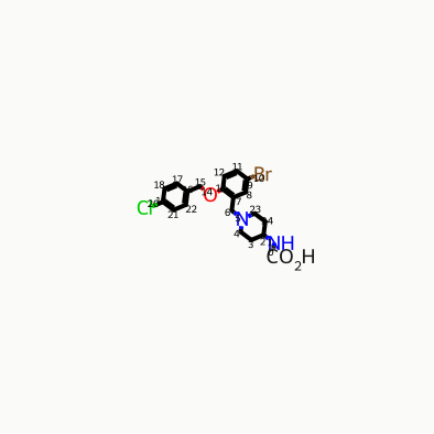 O=C(O)NC1CCN(Cc2cc(Br)ccc2OCc2ccc(Cl)cc2)CC1